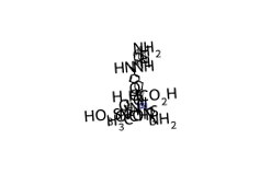 CC(O/N=C(\C(=O)N[C@@H]1C(=O)N(OS(=O)(=O)O)C1(C)C)c1csc(N)n1)(C(=O)O)[C@H]1CCc2cc(C(=N)N[C@@H]3CC[C@@H](N)[C@@H]4C[C@@H]43)ccc2O1